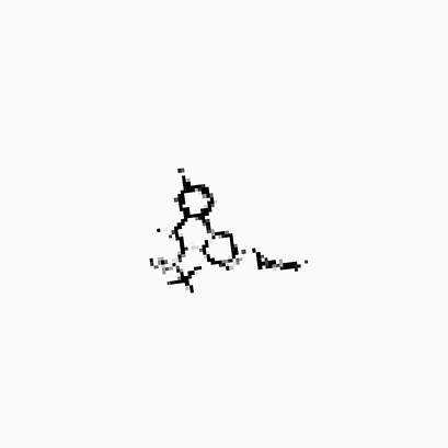 C[C@@H](N[S@+]([O-])C(C)(C)C)c1cc(F)ccc1N1CCO[C@@H](CN=[N+]=[N-])C1